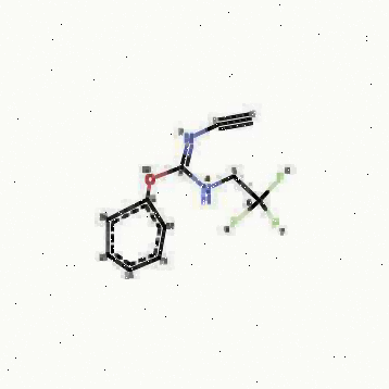 C#C/N=C(\NCC(F)(F)F)Oc1ccccc1